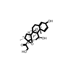 C[C@@H]1C[C@H]2[C@@H]3CCC4=CC(O)C=C[C@]4(C)[C@@]3(F)[C@@H](O)C[C@@]23O[C@]13C(=O)CO